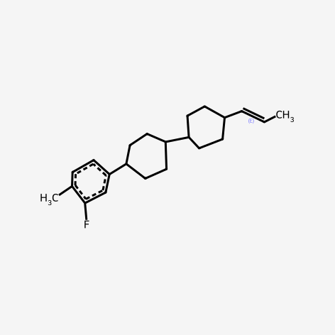 C/C=C/C1CCC(C2CCC(c3ccc(C)c(F)c3)CC2)CC1